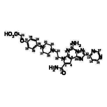 NC(=O)c1cc2c(nc(N)n3nc(-c4ccncn4)nc23)n1CCN1CCN(c2ccc(OCC(=O)O)cc2)CC1